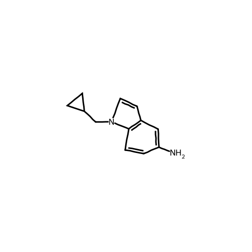 Nc1ccc2c(ccn2CC2CC2)c1